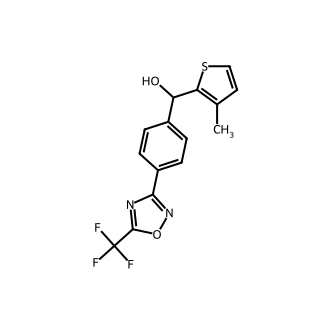 Cc1ccsc1C(O)c1ccc(-c2noc(C(F)(F)F)n2)cc1